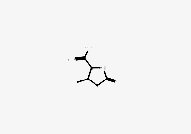 CC1CC(=O)NC1C(=O)O